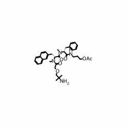 CC(=O)OCCCNC(=O)[C@@H](Cc1ccccc1)N(C)C(=O)[C@@H](Cc1ccc2ccccc2c1)N(C)C(=O)COCC(C)(C)N